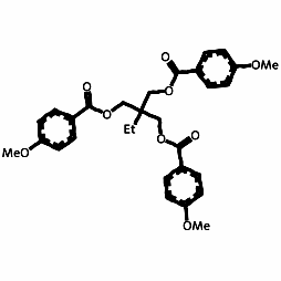 CCC(COC(=O)c1ccc(OC)cc1)(COC(=O)c1ccc(OC)cc1)COC(=O)c1ccc(OC)cc1